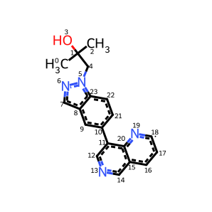 CC(C)(O)Cn1ncc2cc(-c3cncc4cc[c]nc34)ccc21